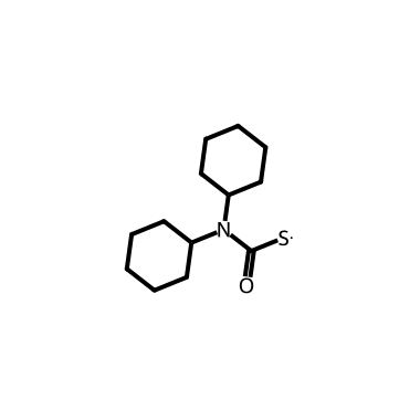 O=C([S])N(C1CCCCC1)C1CCCCC1